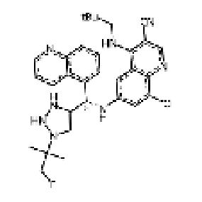 CC(C)(C)CNc1c(C#N)cnc2c(Cl)cc(N[C@H](C3=CN(C(C)(C)CF)NN3)c3cccc4ncccc34)cc12